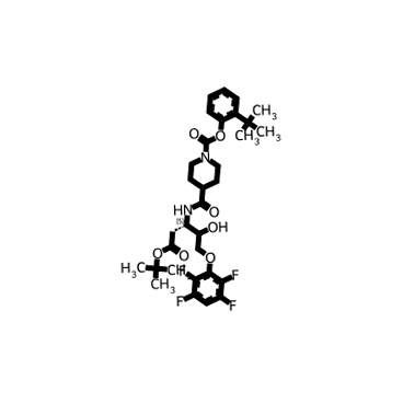 CC(C)(C)OC(=O)C[C@H](NC(=O)C1CCN(C(=O)Oc2ccccc2C(C)(C)C)CC1)C(O)COc1c(F)c(F)cc(F)c1F